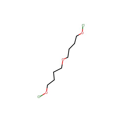 ClOCCCCOCCCCOCl